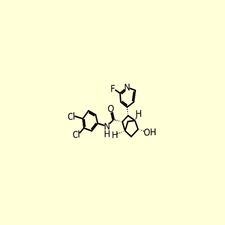 O=C(Nc1ccc(Cl)c(Cl)c1)[C@H]1[C@H]2C[C@@H]([C@H]1c1ccnc(F)c1)[C@H](O)C2